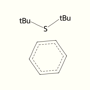 CC(C)(C)SC(C)(C)C.c1ccccc1